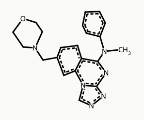 CN(c1ccccc1)c1nc2nncn2c2cc(CN3CCOCC3)ccc12